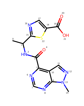 CC(NC(=O)c1ncnc2c1cnn2C)c1ncc(C(=O)O)s1